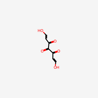 O=C(C=CO)C(=O)C(=O)C=CO